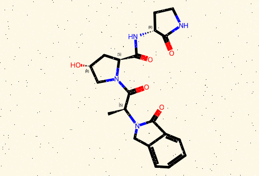 C[C@@H](C(=O)N1C[C@H](O)C[C@H]1C(=O)N[C@@H]1CCNC1=O)N1Cc2ccccc2C1=O